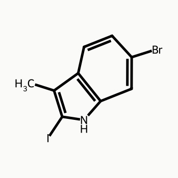 Cc1c(I)[nH]c2cc(Br)ccc12